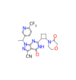 CC(c1ccc(C(F)(F)F)nc1)n1nc(C#N)c2c(=O)[nH]c(C3CCC3N3CCOCC3=O)nc21